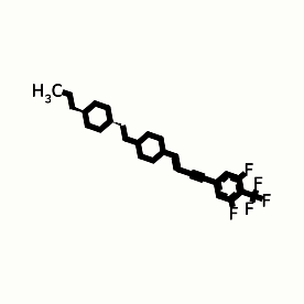 CCC[C@H]1CC[C@H](CCC2CCC(/C=C/C#Cc3cc(F)c(C(F)(F)F)c(F)c3)CC2)CC1